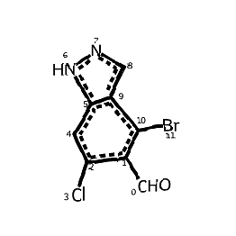 O=Cc1c(Cl)cc2[nH]ncc2c1Br